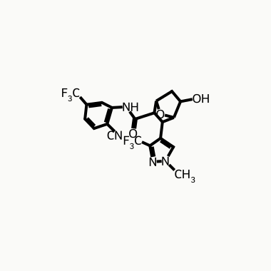 Cn1cc(C2C3OC(CC3O)C2C(=O)Nc2cc(C(F)(F)F)ccc2C#N)c(C(F)(F)F)n1